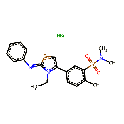 Br.CCn1c(-c2ccc(C)c(S(=O)(=O)N(C)C)c2)csc1=Nc1ccccc1